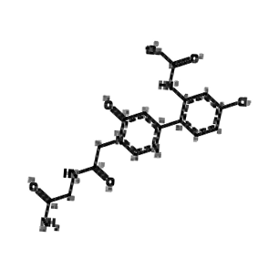 CC(C)(C)C(=O)Nc1cc(Cl)ccc1-c1cc(=O)n(CC(=O)NCC(N)=O)cn1